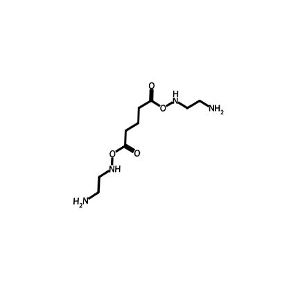 NCCNOC(=O)CCCC(=O)ONCCN